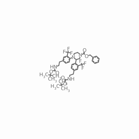 CC(C)(C)OC(=O)NCCc1ccc(C2CN(C(=O)OCc3ccccc3)CCN2c2ccc(CCNC(=O)OC(C)(C)C)cc2C(F)(F)F)c(C(F)(F)F)c1